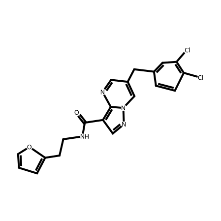 O=C(NCCc1ccco1)c1cnn2cc(Cc3ccc(Cl)c(Cl)c3)cnc12